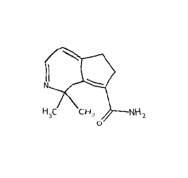 CC1(C)N=CC=C2CCC(C(N)=O)=C21